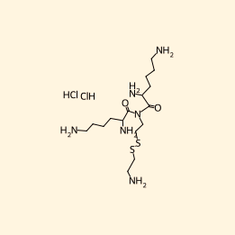 Cl.Cl.NCCCCC(N)C(=O)N(CCSSCCN)C(=O)C(N)CCCCN